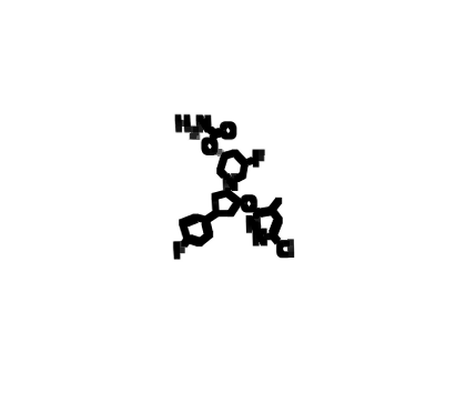 Cc1cc(Cl)nnc1OC1CC(c2ccc(F)cc2)CC1N1C[C@H](F)C[C@@H](OC(N)=O)C1